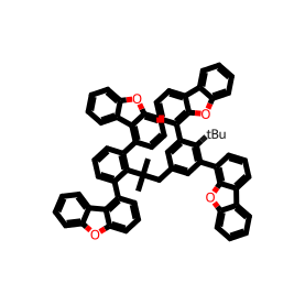 CC(C)(C)c1c(-c2cccc3c2oc2ccccc23)cc(CC(C)(C)c2c(-c3cccc4oc5ccccc5c34)cccc2-c2cccc3oc4ccccc4c23)cc1-c1cccc2c1oc1ccccc12